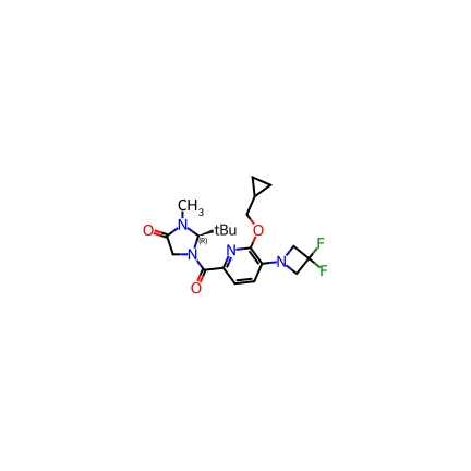 CN1C(=O)CN(C(=O)c2ccc(N3CC(F)(F)C3)c(OCC3CC3)n2)[C@@H]1C(C)(C)C